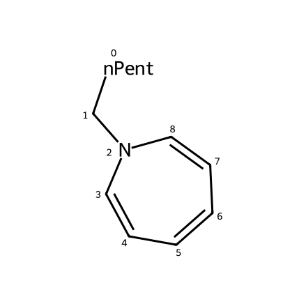 CCCCCCN1C=CC=CC=C1